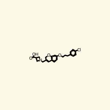 O=C(O)C1CN(CC2=Cc3ccc(OCCCc4ccc(Cl)cc4)cc3OC2)C1